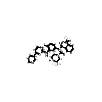 Cc1ccc(N(C(=O)c2ccccc2C(F)(F)F)C(C)N2CCNCC2)cc1Nc1nccc(-c2cncnc2)n1.Cl